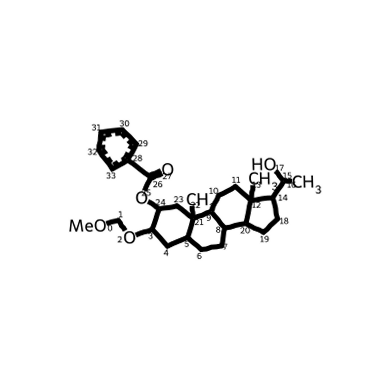 COCOC1CC2CCC3C(CCC4(C)C(C(C)O)CCC34)C2(C)CC1OC(=O)c1ccccc1